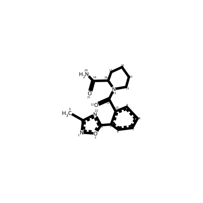 Cc1noc(-c2ccccc2C(=O)N2CCCCC2C(N)=O)n1